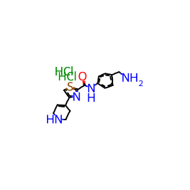 Cl.Cl.NCc1ccc(NC(=O)c2nc(C3=CCNCC3)cs2)cc1